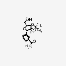 CC1(C)OC2[C@H](CO)O[C@H](c3cccc(C(N)=O)c3)[C@@H]2O1